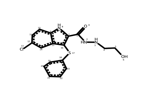 O=C(NNCCO)c1[nH]c2ccc(Cl)cc2c1Sc1ccccc1